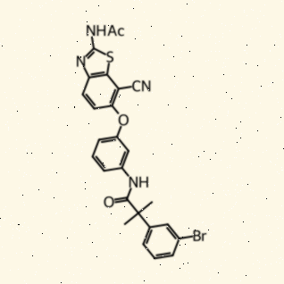 CC(=O)Nc1nc2ccc(Oc3cccc(NC(=O)C(C)(C)c4cccc(Br)c4)c3)c(C#N)c2s1